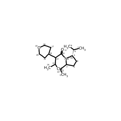 CCC1CC[C@@H](C(C)C)N1C(=O)C(C(C)C)C1CCOCC1